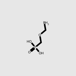 BCOCP(=O)(O)O